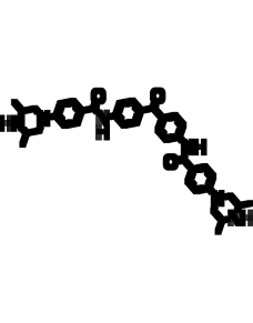 CC1CN(c2ccc(C(=O)Nc3ccc(C(=O)c4ccc(NC(=O)c5ccc(N6CC(C)NC(C)C6)cc5)cc4)cc3)cc2)CC(C)N1